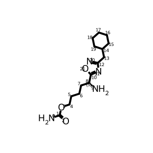 NC(=O)OCCCC[C@H](N)c1nc(CC2CCCCC2)no1